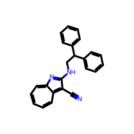 N#Cc1c2cccccc-2nc1NCC(c1ccccc1)c1ccccc1